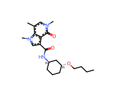 CCCCO[C@@H]1CCC[C@@H](NC(=O)c2cn(C)c3c(C)cn(C)c(=O)c23)C1